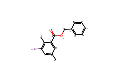 Cc1cc(I)c(C)c(C(=O)OCc2ccccc2)c1